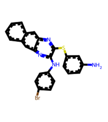 Nc1cccc(Sc2nc3cc4ccccc4cc3nc2Nc2ccc(Br)cc2)c1